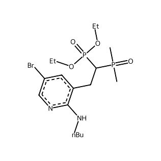 CCCCNc1ncc(Br)cc1CC(P(C)(C)=O)P(=O)(OCC)OCC